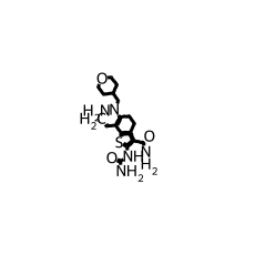 C=CC1=C(N(N)CC2CCOCC2)CCc2c1sc(NC(N)=O)c2C(N)=O